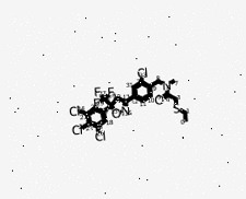 CCSCC(=O)N(C)Cc1ccc(C2=NOC(c3cc(Cl)c(Cl)c(Cl)c3)(C(F)(F)F)C2)cc1Cl